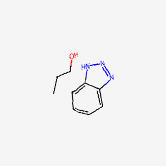 CCCO.c1ccc2[nH]nnc2c1